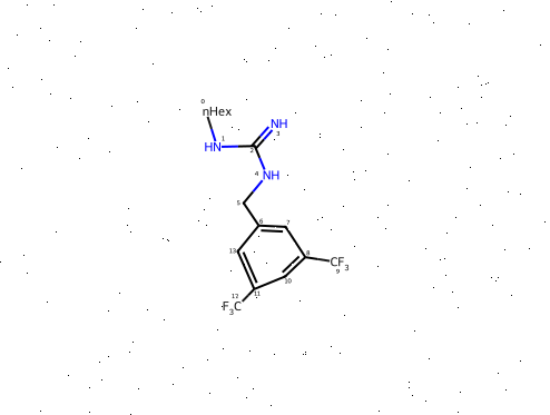 CCCCCCNC(=N)NCc1cc(C(F)(F)F)cc(C(F)(F)F)c1